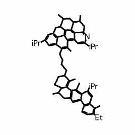 CCc1ccc2c(cc(C(C)C)c3c(C)c4c(cc32)CC(C)C2CCC(CCCCc3c(C)c5c6cc(C(C)C)nc7c6c6c8c5c5c(cc(C(C)C)cc35)CC8C(C)CC6C(C)C7)C(C)=C42)c1C